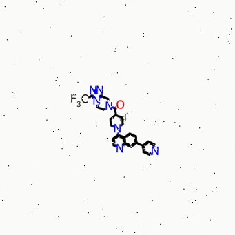 C[C@@H]1CN(c2ccnc3cc(-c4ccncc4)ccc23)CCC1C(=O)N1CCn2c(nnc2C(F)(F)F)C1